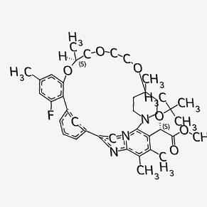 COC(=O)[C@@H](OC(C)(C)C)c1c(C)c(C)c2nc3cn2c1N1CCC(C)(CC1)OCCOC[C@H](C)Oc1cc(C)cc(F)c1-c1cccc-3c1